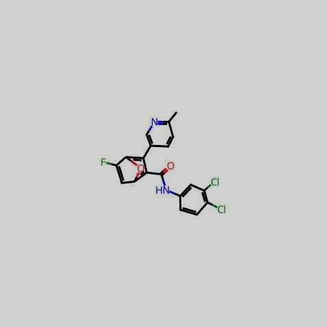 Cc1ccc(-c2c(C(=O)Nc3ccc(Cl)c(Cl)c3)c3cc(F)c2o3)cn1